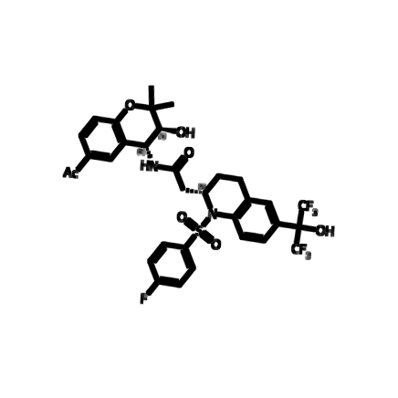 CC(=O)c1ccc2c(c1)[C@@H](NC(=O)C[C@@H]1CCc3cc(C(O)(C(F)(F)F)C(F)(F)F)ccc3N1S(=O)(=O)c1ccc(F)cc1)[C@H](O)C(C)(C)O2